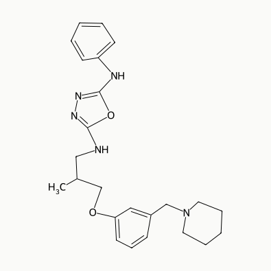 CC(CNc1nnc(Nc2ccccc2)o1)COc1cccc(CN2CCCCC2)c1